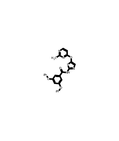 Cc1nccc(Oc2cnc(NC(=O)c3cc(OC(C)C)cc(OC(C)C)c3)s2)n1